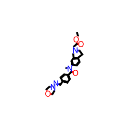 CCOC(=O)CN1CCc2ccc(N(C)C(=O)c3ccc(C=NN4CCOCC4)cc3)cc2C1